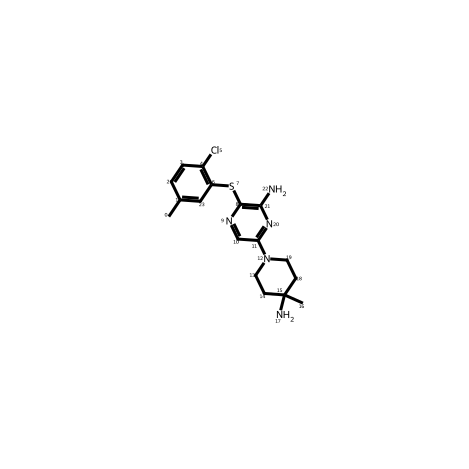 Cc1ccc(Cl)c(Sc2ncc(N3CCC(C)(N)CC3)nc2N)c1